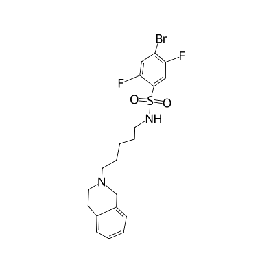 O=S(=O)(NCCCCCN1CCc2ccccc2C1)c1cc(F)c(Br)cc1F